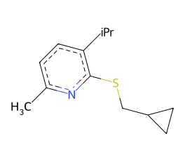 Cc1ccc(C(C)C)c(SCC2CC2)n1